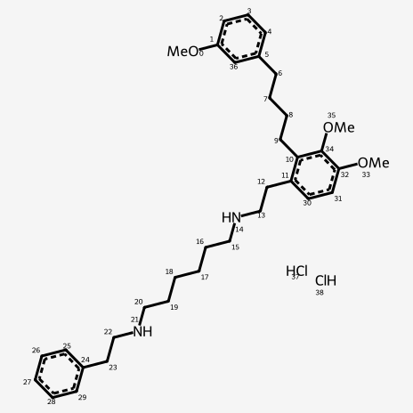 COc1cccc(CCCCc2c(CCNCCCCCCNCCc3ccccc3)ccc(OC)c2OC)c1.Cl.Cl